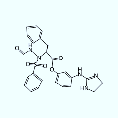 O=CNN([C@@H](Cc1ccccc1)C(=O)Oc1cccc(NC2=NCCN2)c1)S(=O)(=O)c1ccccc1